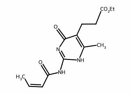 C/C=C\C(=O)Nc1nc(=O)c(CCC(=O)OCC)c(C)[nH]1